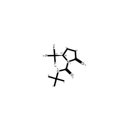 CC(C)(C)OC(=O)N1C(=O)CC[C@@H]1C(F)(F)F